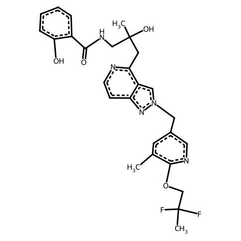 Cc1cc(Cn2cc3c(CC(C)(O)CNC(=O)c4ccccc4O)nccc3n2)cnc1OCC(C)(F)F